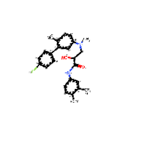 CN(CC(O)C(=O)Nc1ccc(C#N)c(C(F)(F)F)c1)c1ccc(C#N)c(-c2ccc(F)cc2)c1